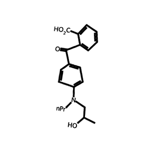 CCCN(CC(C)O)c1ccc(C(=O)c2ccccc2C(=O)O)cc1